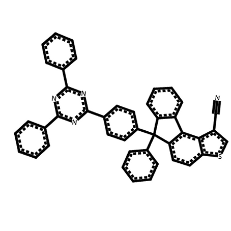 N#Cc1csc2ccc3c(c12)-c1ccccc1C3(c1ccccc1)c1ccc(-c2nc(-c3ccccc3)nc(-c3ccccc3)n2)cc1